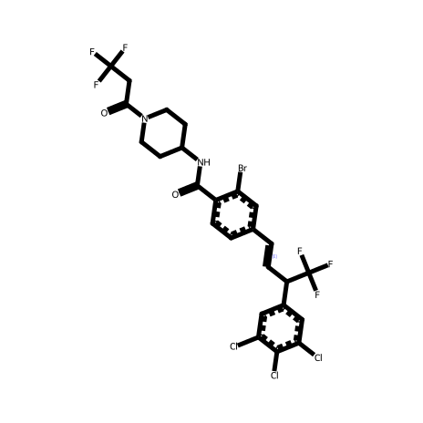 O=C(NC1CCN(C(=O)CC(F)(F)F)CC1)c1ccc(/C=C/C(c2cc(Cl)c(Cl)c(Cl)c2)C(F)(F)F)cc1Br